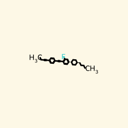 CCC#Cc1ccc(C#Cc2ccc([C@H]3CC[C@H](CCCCC)CC3)cc2F)cc1